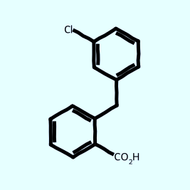 O=C(O)c1ccccc1Cc1cccc(Cl)c1